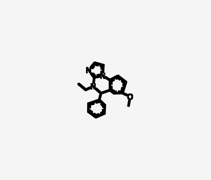 CCN1c2nccn2-c2ccc(OC)cc2C1c1ccccc1